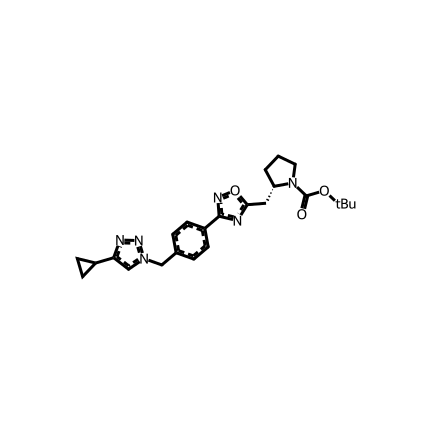 CC(C)(C)OC(=O)N1CCC[C@H]1Cc1nc(-c2ccc(Cn3cc(C4CC4)nn3)cc2)no1